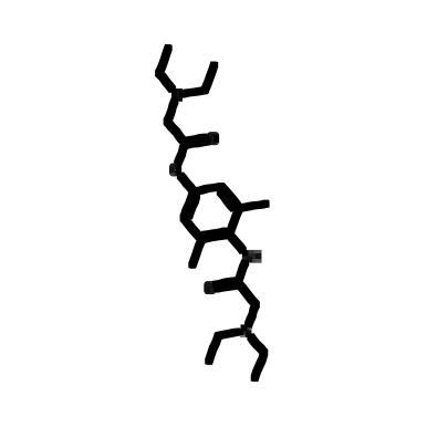 CCN(CC)CC(=O)Nc1c(C)cc(OC(=O)CN(CC)CC)cc1C